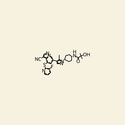 Cc1c(-c2cc(Sc3ncccc3F)c3c(C#N)cnn3c2)cnn1[C@H]1CC[C@@H](NC(=O)C(C)(C)O)CC1